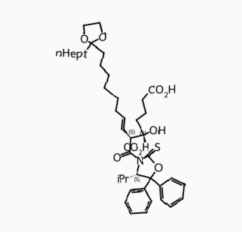 CCCCCCCC1(CCCCCCC=C[C@H](C(=O)N2C(=S)OC(c3ccccc3)(c3ccccc3)[C@@H]2C(C)C)[C@@](O)(CCCC(=O)O)C(=O)O)OCCO1